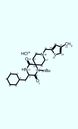 CCCCN1C(=O)C(CC2CCCCC2)NC(=O)C12CCN(Cc1cc(C)cs1)CC2.Cl